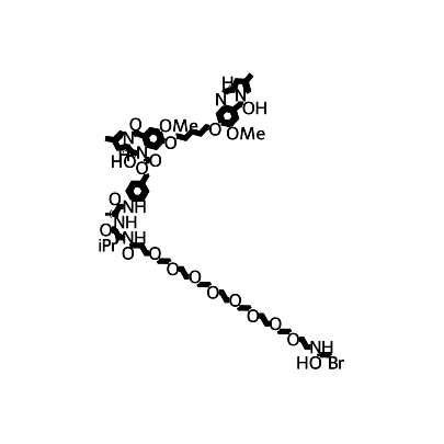 COc1cc2c(cc1OCCCCCOc1cc3c(cc1OC)C(=O)N1C=C(C)C[C@H]1[C@H](O)N3C(=O)OCc1ccc(NC(=O)[C@H](C)NC(=O)[C@@H](NC(=O)CCOCCOCCOCCOCCOCCOCCOCCOCCNC(O)CBr)C(C)C)cc1)N=C[C@@H]1CC(C)=CN1C2O